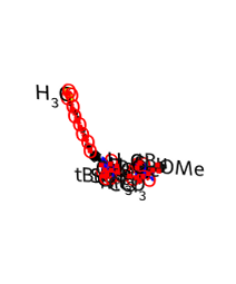 COc1ccc(C2=CN3C(=O)c4cc(OC)c(OCCCOc5cc6c(cc5OC)C(=O)N5C=C(c7ccc(OCCOCCOCCOCCOCCOCCOS(C)(=O)=O)cc7)CC5C(O[Si](C)(C)C(C)(C)C)N6C(=O)OCC(Cl)(Cl)Cl)cc4N(C(=O)OCC(Cl)(Cl)Cl)C(O[Si](C)(C)C(C)(C)C)C3C2)cc1